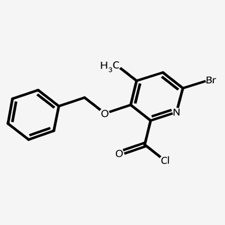 Cc1cc(Br)nc(C(=O)Cl)c1OCc1ccccc1